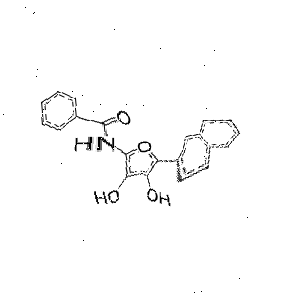 O=C(Nc1oc(-c2ccc3ccccc3c2)c(O)c1O)c1ccccc1